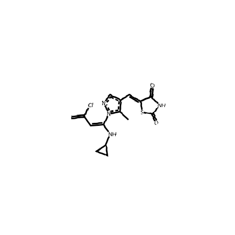 C=C(Cl)/C=C(/NC1CC1)n1ncc(/C=C2\SC(=O)NC2=O)c1C